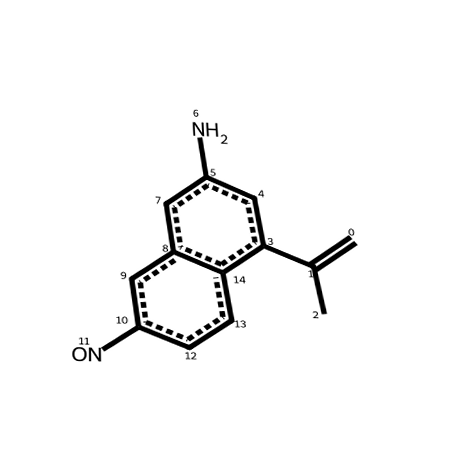 C=C(C)c1cc(N)cc2cc(N=O)ccc12